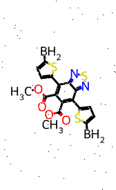 Bc1ccc(-c2c(C(=O)OC)c(C(=O)OC)c(-c3ccc(B)s3)c3nsnc23)s1